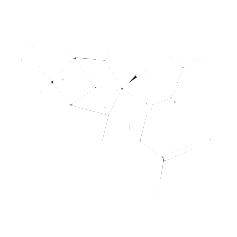 C[C@H]1C2CC(C[C@@H]1N(CC(=O)O)CC(=O)O)C2(C)C